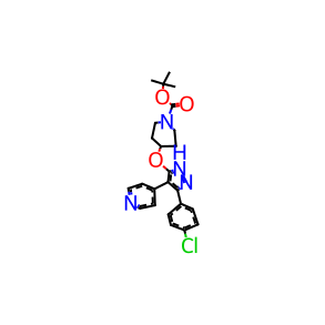 CC(C)(C)OC(=O)N1CCC(Oc2[nH]nc(-c3ccc(Cl)cc3)c2-c2ccncc2)CC1